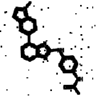 CC(=O)Nc1ccc(Nc2nc3c(-c4ccc5c(ccn5C)c4)cccn3n2)cc1